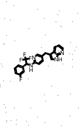 Fc1cccc(C(Nc2ccc(Cc3c[nH]c4ncccc34)cn2)C(F)(F)F)c1